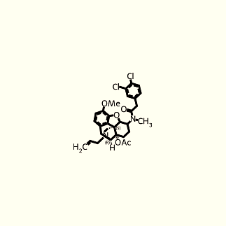 C=CCN1CC[C@]23c4c5ccc(OC)c4OC2C(N(C)C(=O)Cc2ccc(Cl)c(Cl)c2)CC[C@@]3(OC(C)=O)[C@H]1C5